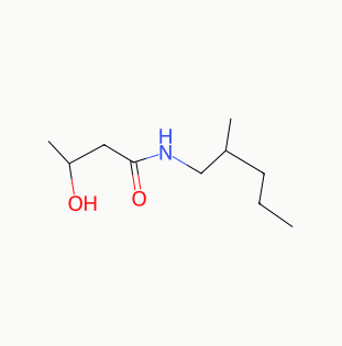 CCCC(C)CNC(=O)CC(C)O